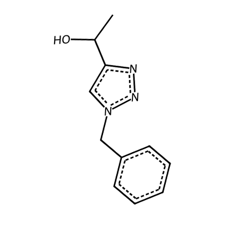 CC(O)c1cn(Cc2ccccc2)nn1